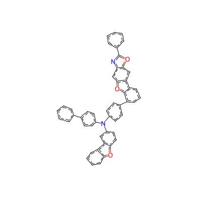 c1ccc(-c2ccc(N(c3ccc(-c4cccc5c4oc4cc6nc(-c7ccccc7)oc6cc45)cc3)c3ccc4oc5ccccc5c4c3)cc2)cc1